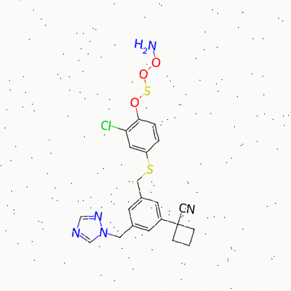 N#CC1(c2cc(CSc3ccc(OSOON)c(Cl)c3)cc(Cn3cncn3)c2)CCC1